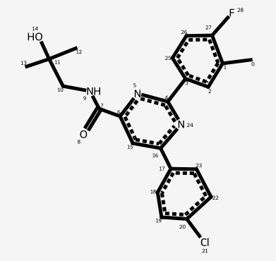 Cc1cc(-c2nc(C(=O)NCC(C)(C)O)cc(-c3ccc(Cl)cc3)n2)ccc1F